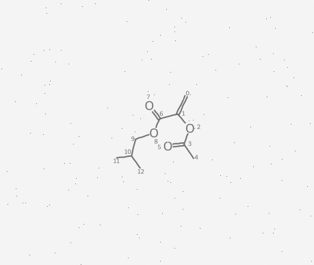 C=C(OC(C)=O)C(=O)OCC(C)C